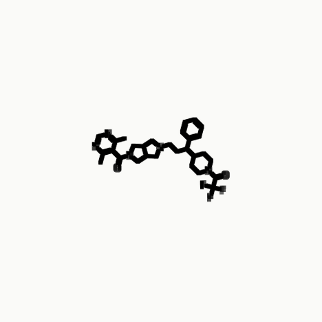 Cc1ncnc(C)c1C(=O)N1CC2CN(CCC(c3ccccc3)C3CCN(C(=O)C(F)(F)F)CC3)CC2C1